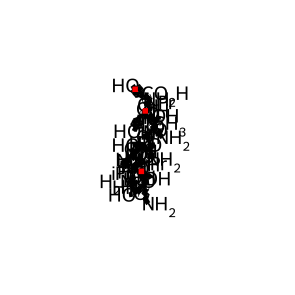 CC(C)C[C@H](NC(=O)[C@H](Cc1ccc(O)cc1)NC(=O)[C@@H](NC(=O)[C@H](CC(N)=O)NC(=O)CNC(=O)[C@H](CC(N)=O)NC(=O)[C@H](CO)NC(=O)[C@H](Cc1c[nH]cn1)NC(=O)[C@H](CC(C)C)NC(=O)[C@H](CC(C)C)NC(=O)[C@H](CO)NC(=O)[C@H](CCCCN)NC(=O)[C@H](CO)NC(=O)[C@@H](N)CO)[C@@H](C)O)C(=O)N[C@@H](Cc1ccc(O)cc1)C(=O)O